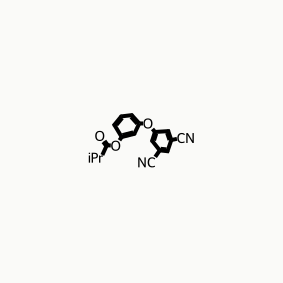 CC(C)C(=O)Oc1cccc(Oc2cc(C#N)cc(C#N)c2)c1